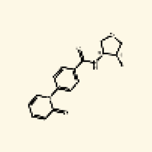 C[C@@H]1COC[C@@H]1NC(=O)c1ccc(-n2ccccc2=O)cc1